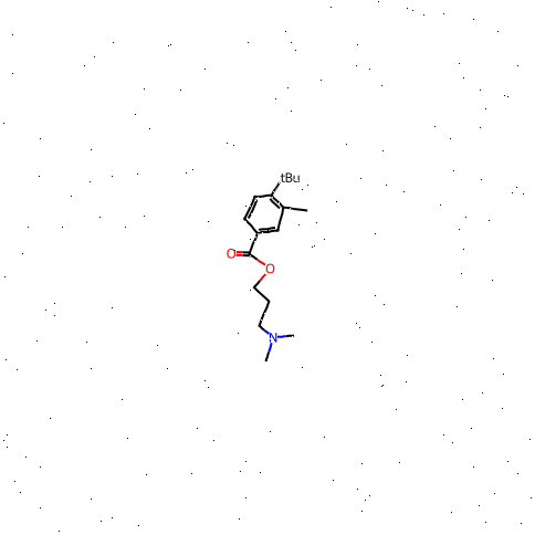 Cc1cc(C(=O)OCCCN(C)C)ccc1C(C)(C)C